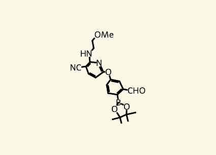 COCCNc1nc(Oc2ccc(B3OC(C)(C)C(C)(C)O3)c(C=O)c2)ccc1C#N